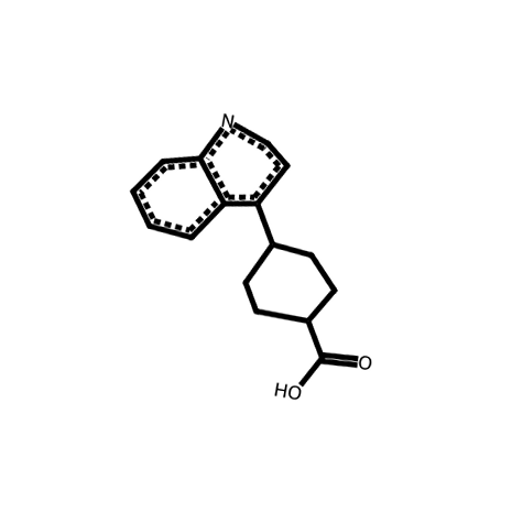 O=C(O)C1CCC(c2ccnc3ccccc23)CC1